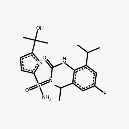 CC(C)c1cc(F)cc(C(C)C)c1NC(=O)N=S(N)(=O)c1ccc(C(C)(C)O)s1